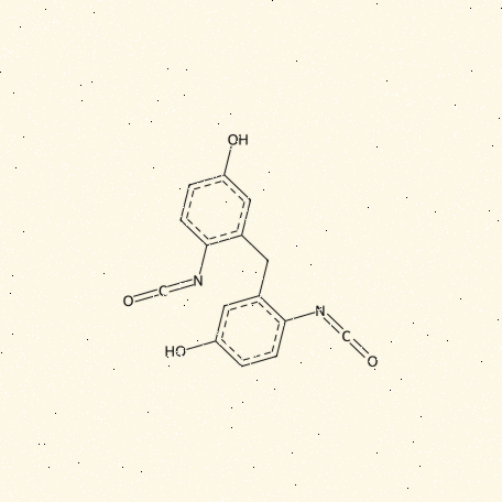 O=C=Nc1ccc(O)cc1Cc1cc(O)ccc1N=C=O